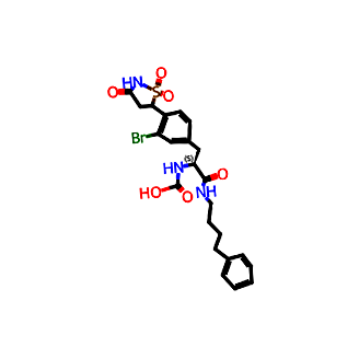 O=C(O)N[C@@H](Cc1ccc(C2CC(=O)NS2(=O)=O)c(Br)c1)C(=O)NCCCCc1ccccc1